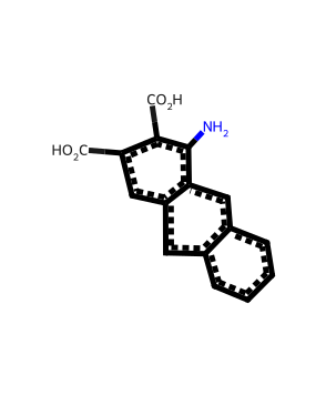 Nc1c(C(=O)O)c(C(=O)O)cc2cc3ccccc3cc12